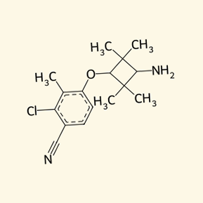 Cc1c(OC2C(C)(C)C(N)C2(C)C)ccc(C#N)c1Cl